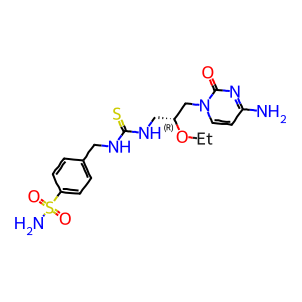 CCO[C@H](CNC(=S)NCc1ccc(S(N)(=O)=O)cc1)Cn1ccc(N)nc1=O